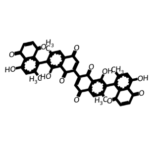 Cc1cc2c(c(O)c1-c1c(C)cc(O)c3c1C(=O)C=CC3=O)C(=O)C(C1=CC(=O)c3cc(C)c(-c4c(C)cc(O)c5c4C(=O)C=CC5=O)c(O)c3C1=O)=CC2=O